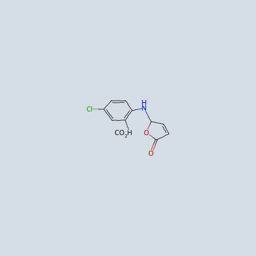 O=C1C=CC(Nc2ccc(Cl)cc2C(=O)O)O1